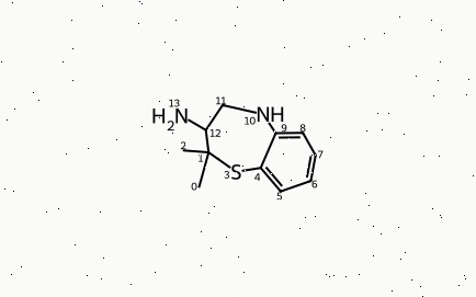 CC1(C)Sc2ccccc2NCC1N